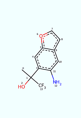 CC(O)(c1cc2occc2cc1N)C(F)(F)F